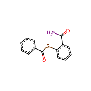 O=C(Sc1ccccc1C(=O)P)c1ccccc1